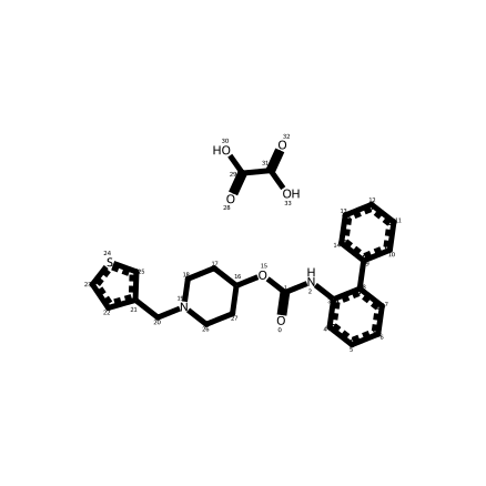 O=C(Nc1ccccc1-c1ccccc1)OC1CCN(Cc2ccsc2)CC1.O=C(O)C(=O)O